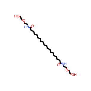 O=C(CCCCCCCCCCCCCCCCCCC(=O)NCCOCCO)NCCOCCO